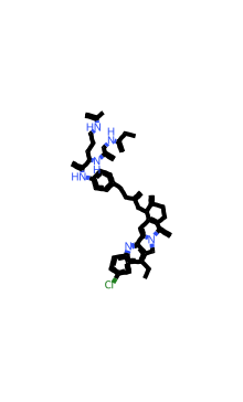 C=C(CCc1ccc(NC(=C)C(CCCNC(=C)C)NC(=C)CNC(=C)CC)cc1)CC1C(=C)CCC2=C1C=C1c3nc4ccc(Cl)cc4c(CC)c3CN1C2=C